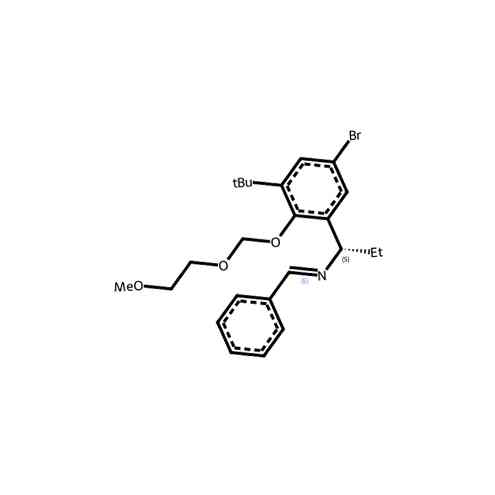 CC[C@H](/N=C/c1ccccc1)c1cc(Br)cc(C(C)(C)C)c1OCOCCOC